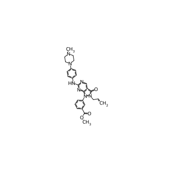 C=CCn1c(=O)c2cnc(Nc3ccc(N4CCN(C)CC4)cc3)nc2n1-c1cccc(C(=O)OC)c1